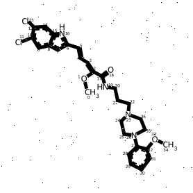 CO/C(=C\C=C\c1cc2cc(Cl)c(Cl)cc2[nH]1)C(=O)NCCCN1CCN(c2ccccc2OC)CC1